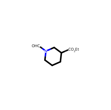 CCOC(=O)C1CCCN(C=O)C1